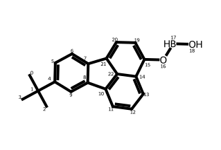 CC(C)(C)c1ccc2c(c1)-c1cccc3c(OBO)ccc-2c13